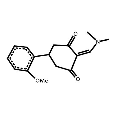 COc1ccccc1C1CC(=O)C(=CN(C)C)C(=O)C1